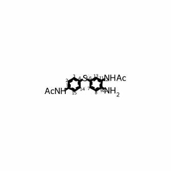 CC(=O)Nc1ccc(Sc2ccc(N)c(NC(C)=O)c2)cc1